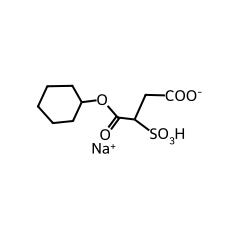 O=C([O-])CC(C(=O)OC1CCCCC1)S(=O)(=O)O.[Na+]